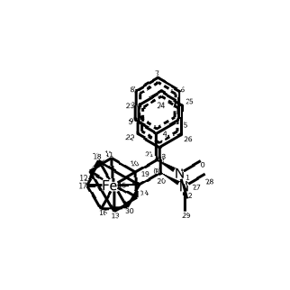 CN(C)[C@H](c1ccccc1)[C]12[CH]3[CH]4[CH]5[CH]1[Fe]45321678[CH]2[CH]1[CH]6[C]7([C@@H](c1ccccc1)N(C)C)[CH]28